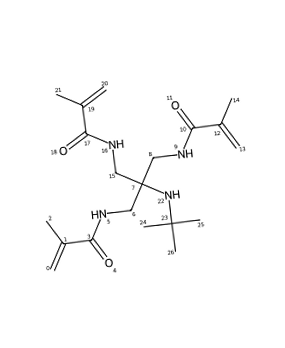 C=C(C)C(=O)NCC(CNC(=O)C(=C)C)(CNC(=O)C(=C)C)NC(C)(C)C